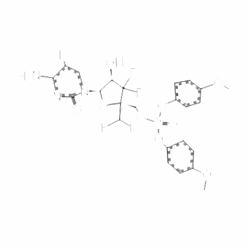 COc1ccc(OP(=O)(OC[C@@]2(C(F)F)O[C@@H](n3cc(F)c(N)nc3=O)[C@@H](O)C2(F)F)Oc2ccc(OC)cc2)cc1